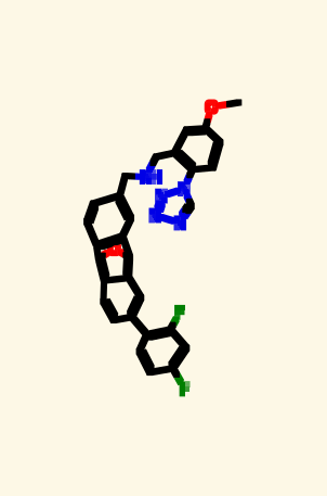 COc1ccc(-n2cnnn2)c(CNCc2ccc3c(c2)c2oc3c3ccc(-c4ccc(F)cc4F)cc32)c1